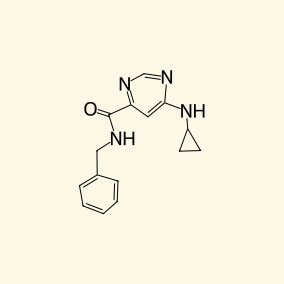 O=C(NCc1ccccc1)c1cc(NC2CC2)ncn1